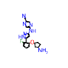 N#Cc1cnc(Nc2cc(-c3c(F)cccc3O[C@@H]3CC[C@H](N)C3)[nH]n2)cn1